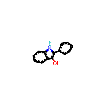 Oc1c(-c2ccccc2)n(F)c2ccccc12